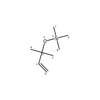 C=CC(C)(C)O[Si](C)(C)C